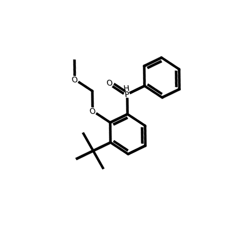 COCOc1c([PH](=O)c2ccccc2)cccc1C(C)(C)C